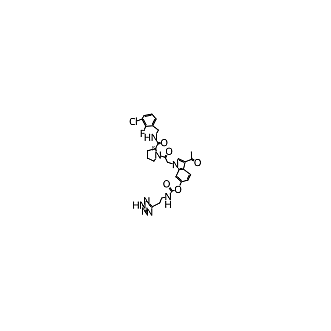 CC(=O)c1cn(CC(=O)N2CCC[C@H]2C(=O)NCc2cccc(Cl)c2F)c2cc(OC(=O)NCCc3nn[nH]n3)ccc12